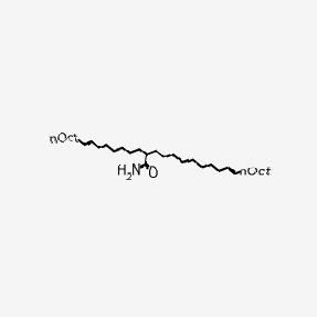 CCCCCCCCC=CCCCCCCCCC(CCCCCCC=CCCCCCCCC)C(N)=O